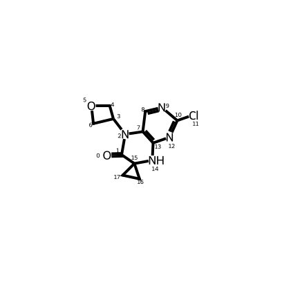 O=C1N(C2COC2)c2cnc(Cl)nc2NC12CC2